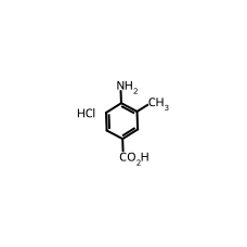 Cc1cc(C(=O)O)ccc1N.Cl